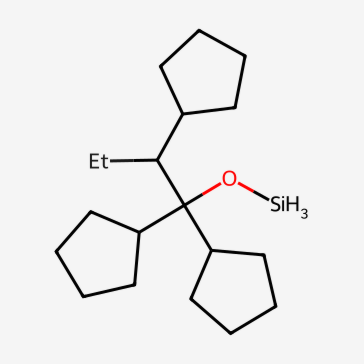 CCC(C1CCCC1)C(O[SiH3])(C1CCCC1)C1CCCC1